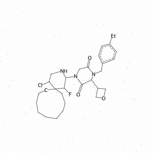 CCc1ccc(CN2C(=O)CN(C3NCC(Cl)C4(CCCCCCCCC4)C3F)C(=O)C2C2COC2)cc1